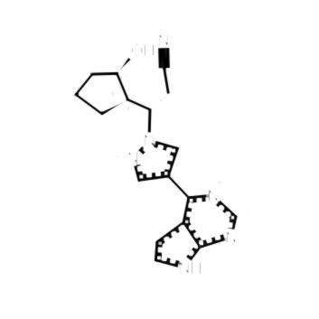 N#CC[C@@H]([C@H]1CCC[C@H]1O)n1cc(-c2ncnc3[nH]ccc23)cn1